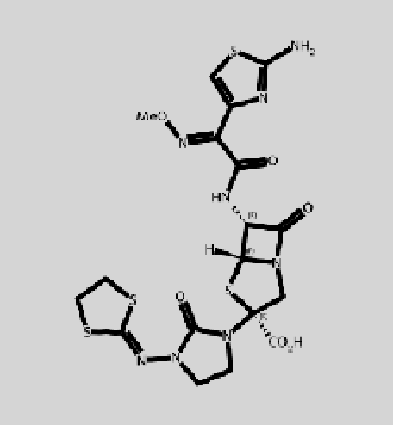 CON=C(C(=O)N[C@@H]1C(=O)N2C[C@@](C(=O)O)(N3CCN(N=C4SCCS4)C3=O)S[C@H]12)c1csc(N)n1